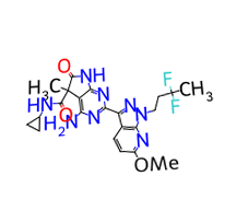 COc1ccc2c(-c3nc(N)c4c(n3)NC(=O)C4(C)C(=O)NC3CC3)nn(CCC(C)(F)F)c2n1